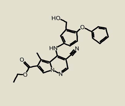 CCOC(=O)c1cn2ncc(C#N)c(Nc3ccc(Oc4ccccc4)c(CO)c3)c2c1C